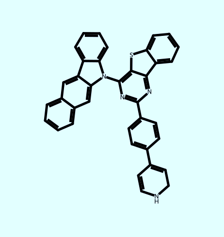 C1=CC(c2ccc(-c3nc(-n4c5ccccc5c5cc6ccccc6cc54)c4sc5ccccc5c4n3)cc2)=CCN1